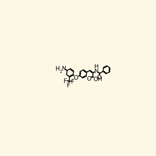 NC1C=CC(Oc2ccc(/C=C(/NC(=O)c3ccccc3)C(=O)O)cc2)=C(C(F)(F)F)C1